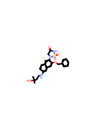 CC(C)(O)CCNc1ccc2c(F)c(N3CC(=O)NS3(=O)=O)c(OCc3ccccc3)cc2c1